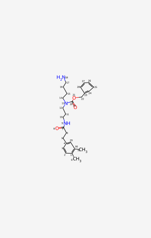 Cc1ccc(CCC(=O)NCCCN(CCCCN)C(=O)OCc2ccccc2)cc1C